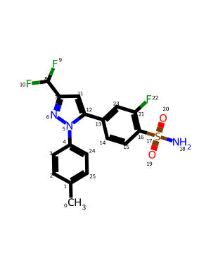 Cc1ccc(-n2nc(C(F)F)cc2-c2ccc(S(N)(=O)=O)c(F)c2)cc1